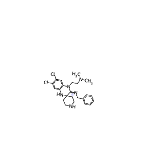 CN(C)CCN1/C(=N/Cc2ccccc2)C2(CCNCC2)Nc2cc(Cl)c(Cl)cc21